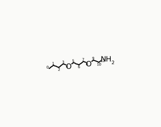 CCCCOCCCOCCN